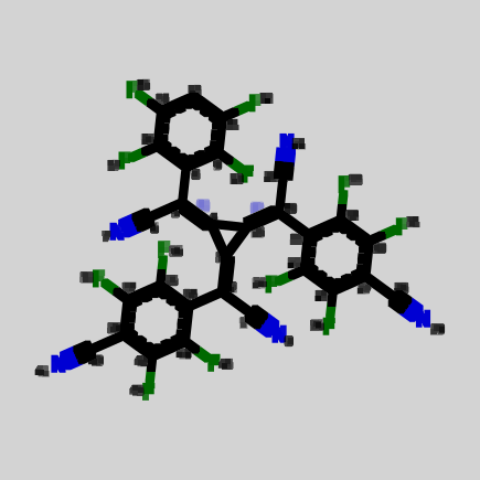 N#CC(=C1C(=C(\C#N)c2c(F)c(F)cc(F)c2F)/C1=C(\C#N)c1c(F)c(F)c(C#N)c(F)c1F)c1c(F)c(F)c(C#N)c(F)c1F